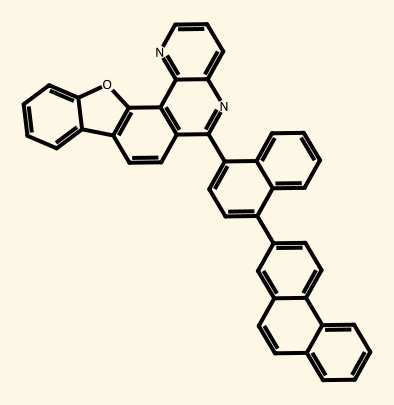 c1ccc2c(c1)ccc1cc(-c3ccc(-c4nc5cccnc5c5c4ccc4c6ccccc6oc45)c4ccccc34)ccc12